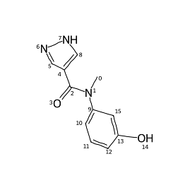 CN(C(=O)c1cn[nH]c1)c1cccc(O)c1